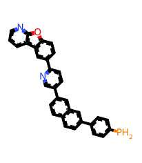 Pc1ccc(-c2ccc3ccc(-c4ccc(-c5ccc6oc7ncccc7c6c5)nc4)cc3c2)cc1